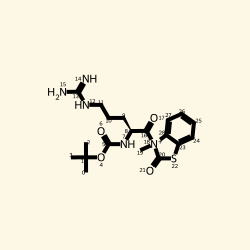 CC(C)(C)OC(=O)N[C@@H](CCCNC(=N)N)C(=O)[N+]1(C)C(=O)Sc2ccccc21